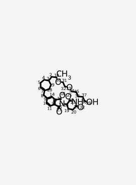 CC(CC1CCC=C(Cc2ccc3c(c2)C(=O)N(C2CCC(=O)NC2=O)C3=O)CC1)OCCOCCCCCO